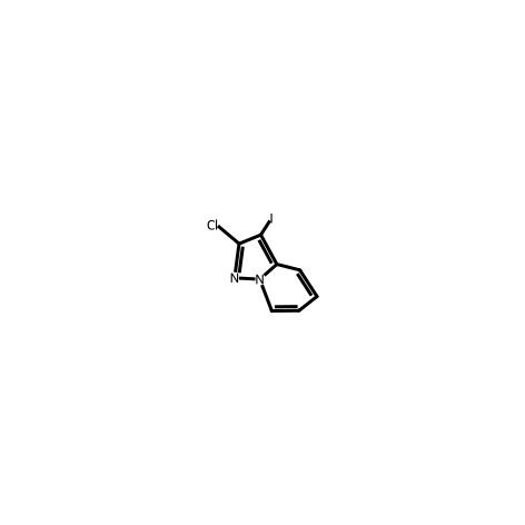 Clc1nn2ccccc2c1I